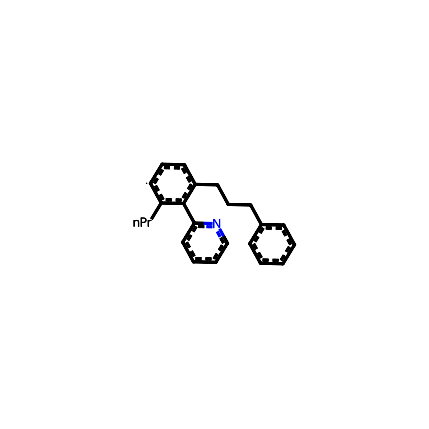 CCCc1[c]ccc(CCCc2ccccc2)c1-c1ccccn1